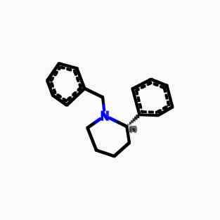 c1ccc(CN2CCCC[C@H]2c2ccccc2)cc1